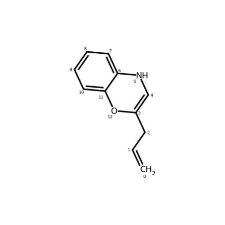 C=CCC1=CNc2ccccc2O1